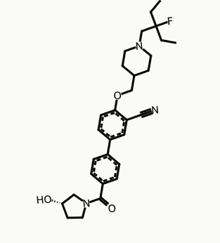 CCC(F)(CC)CN1CCC(COc2ccc(-c3ccc(C(=O)N4CC[C@H](O)C4)cc3)cc2C#N)CC1